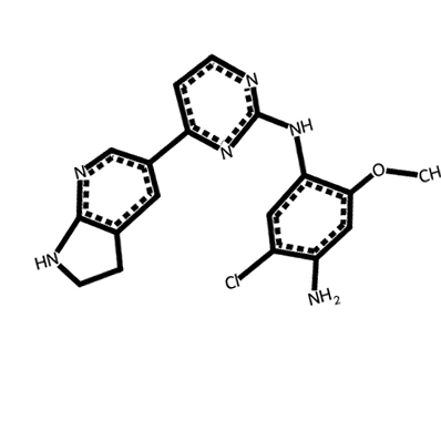 COc1cc(N)c(Cl)cc1Nc1nccc(-c2cnc3c(c2)CCN3)n1